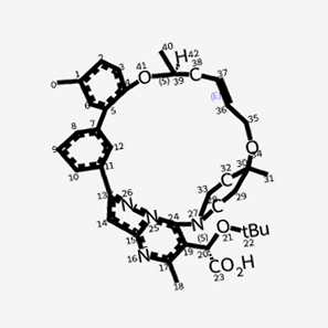 Cc1ccc2c(c1)-c1cccc(c1)-c1cc3nc(C)c([C@H](OC(C)(C)C)C(=O)O)c(n3n1)N1CCC(C)(CC1)OC/C=C/C[C@H](C)O2